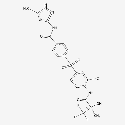 Cc1cc(NC(=O)c2ccc(S(=O)(=O)c3ccc(NC(=O)[C@@](C)(O)C(F)(F)F)c(Cl)c3)cc2)n[nH]1